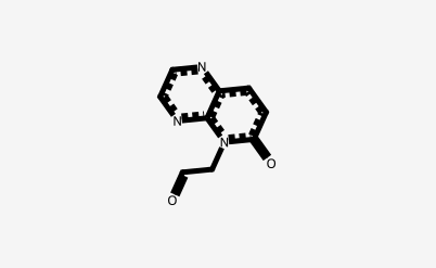 O=CCn1c(=O)ccc2nccnc21